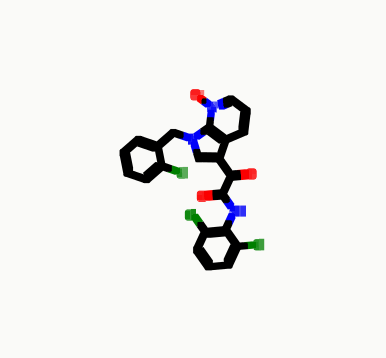 O=C(Nc1c(Cl)cccc1Cl)C(=O)c1cn(Cc2ccccc2Cl)c2c1ccc[n+]2[O-]